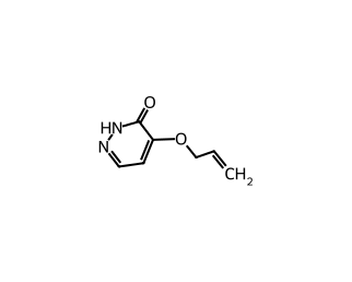 C=CCOc1ccn[nH]c1=O